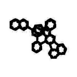 c1ccc(-c2nc(-c3ccc4ccccc4c3)nc(-c3ccccc3-c3c4c(cc5oc6ccccc6c35)-c3cccc5cccc-4c35)n2)cc1